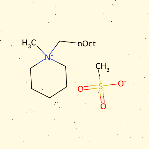 CCCCCCCCC[N+]1(C)CCCCC1.CS(=O)(=O)[O-]